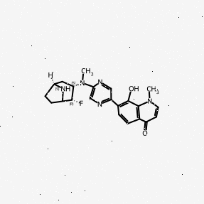 CN(c1cnc(-c2ccc3c(=O)ccn(C)c3c2O)cn1)[C@H]1C[C@@H]2CCC(N2)[C@H]1F